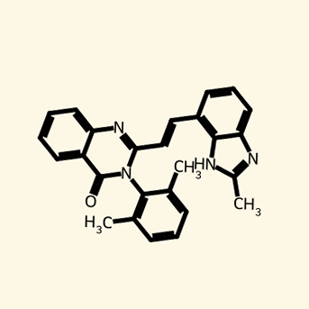 Cc1nc2cccc(/C=C/c3nc4ccccc4c(=O)n3-c3c(C)cccc3C)c2[nH]1